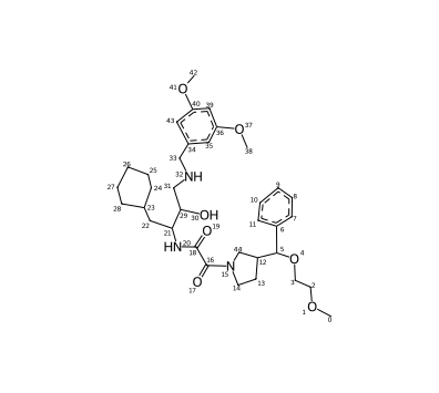 COCCOC(c1ccccc1)C1CCN(C(=O)C(=O)NC(CC2CCCCC2)C(O)CNCc2cc(OC)cc(OC)c2)C1